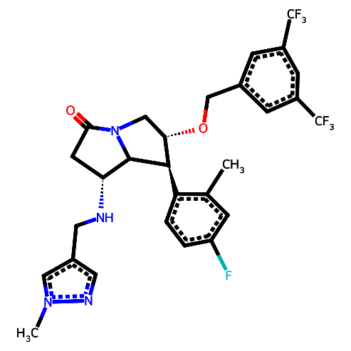 Cc1cc(F)ccc1[C@H]1C2[C@H](NCc3cnn(C)c3)CC(=O)N2C[C@@H]1OCc1cc(C(F)(F)F)cc(C(F)(F)F)c1